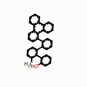 Cc1cccc(-c2ccccc2-c2cccc3c4ccccc4c4ccccc4c23)c1-c1ccccc1O